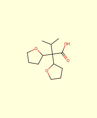 CC(C)C(C(=O)O)(C1CCCO1)C1CCCO1